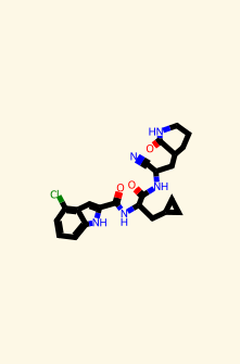 N#CC(CC1CCCNC1=O)NC(=O)C(CC1CC1)NC(=O)c1cc2c(Cl)cccc2[nH]1